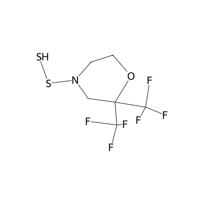 FC(F)(F)C1(C(F)(F)F)CN(SS)CCO1